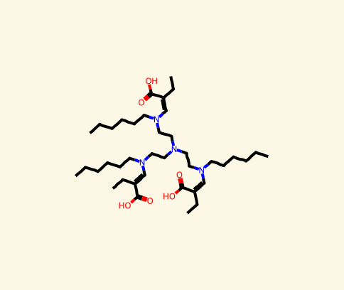 CCCCCCN(C=C(CC)C(=O)O)CCN(CCN(C=C(CC)C(=O)O)CCCCCC)CCN(C=C(CC)C(=O)O)CCCCCC